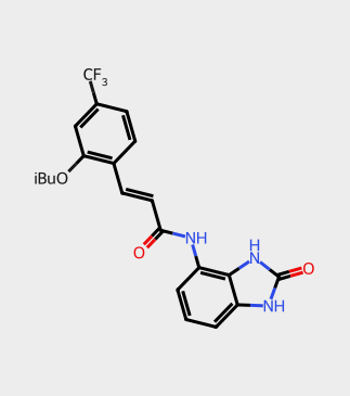 CC(C)COc1cc(C(F)(F)F)ccc1/C=C/C(=O)Nc1cccc2[nH]c(=O)[nH]c12